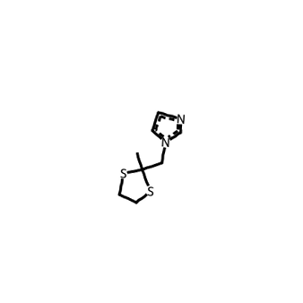 CC1(Cn2ccnc2)SCCS1